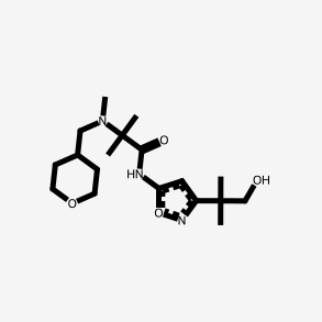 CN(CC1CCOCC1)C(C)(C)C(=O)Nc1cc(C(C)(C)CO)no1